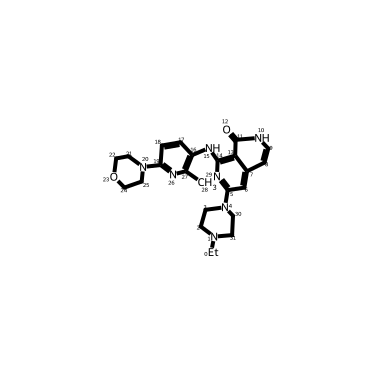 CCN1CCN(c2cc3cc[nH]c(=O)c3c(Nc3ccc(N4CCOCC4)nc3C)n2)CC1